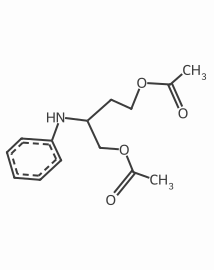 CC(=O)OCCC(COC(C)=O)Nc1ccccc1